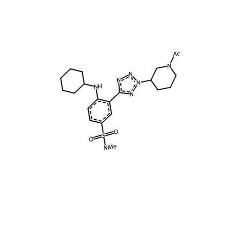 CNS(=O)(=O)c1ccc(NC2CCCCC2)c(-c2nnn(C3CCCN(C(C)=O)C3)n2)c1